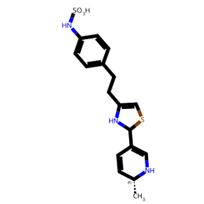 C[C@@H]1C=CC(C2NC(CCc3ccc(NS(=O)(=O)O)cc3)=CS2)=CN1